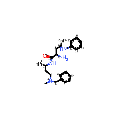 CCCC(CCN(C)Cc1ccccc1)NC(=O)C(N)CC(CCC)Nc1ccccc1